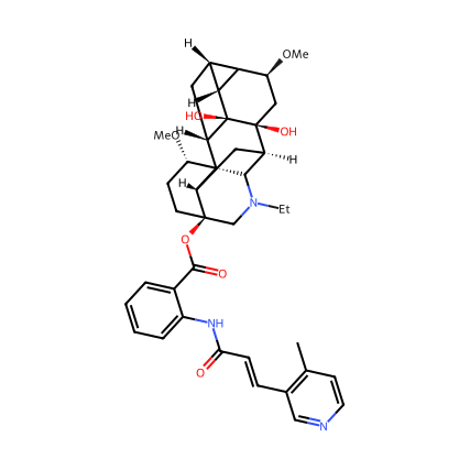 CCN1C[C@]2(OC(=O)c3ccccc3NC(=O)/C=C/c3cnccc3C)CC[C@H](OC)[C@]34C1[C@@H](C[C@H]23)[C@@]1(O)C[C@H](OC)C2[C@H]3C[C@@H]4[C@]1(O)[C@@H]23